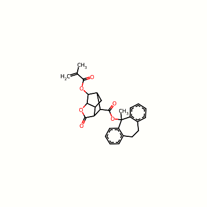 C=C(C)C(=O)OC1C2CC3C1OC(=O)C3C2C(=O)OC1(C)c2ccccc2CCc2ccccc21